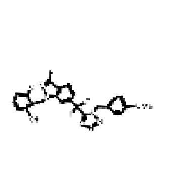 COc1ccc(Cn2nnnc2C(F)(F)c2ccc3c(C)nn(Cc4c(Cl)cccc4C#N)c3c2)cc1